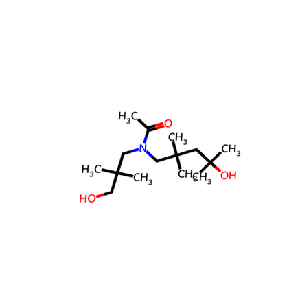 CC(=O)N(CC(C)(C)CO)CC(C)(C)CC(C)(C)O